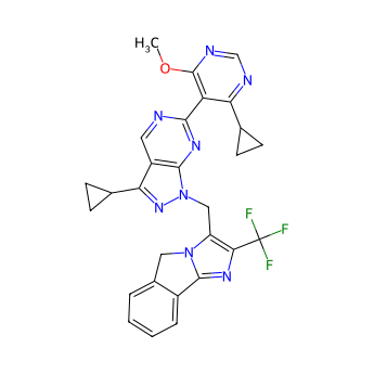 COc1ncnc(C2CC2)c1-c1ncc2c(C3CC3)nn(Cc3c(C(F)(F)F)nc4n3Cc3ccccc3-4)c2n1